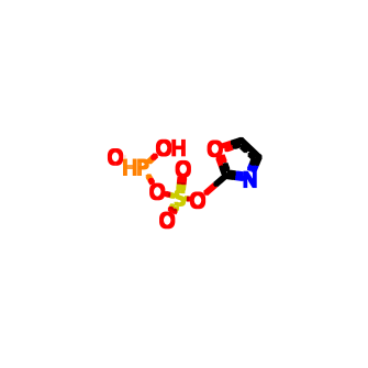 O=[PH](O)OS(=O)(=O)Oc1ncco1